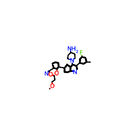 COCCC(=O)Oc1c(C#N)cccc1-c1ccc2ncc(-c3cc(C)cc(F)c3)c(N3CCC(N)CC3)c2c1